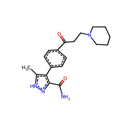 Cc1[nH]nc(C(N)=O)c1-c1ccc(C(=O)CCN2CCCCC2)cc1